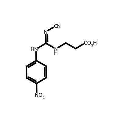 N#CN=C(NCCC(=O)O)Nc1ccc([N+](=O)[O-])cc1